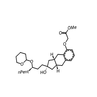 CCCCC[C@H](CC[C@]1(O)C[C@H]2Cc3cccc(OCC(=O)OC)c3C[C@H]2C1)OC1CCCCO1